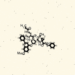 BN[C@@H](CNC(=O)C=C)C(=O)N1C[C@H](Oc2cc(-c3ccccc3)nc3cc(OC)ccc23)C[C@H]1C(=O)N[C@]1(C(=O)NSc2ccccc2)C[C@H]1C=C